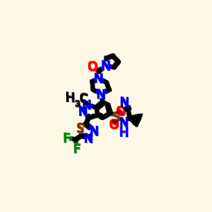 Cn1nc(-c2nnc(C(F)F)s2)c2cc(S(=O)(=O)NC3(C#N)CC3)cc(N3CCN(C(=O)N4CCCC4)CC3)c21